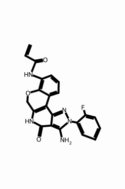 C=CC(=O)Nc1cccc2c1OCc1[nH]c(=O)c3c(N)n(-c4ccccc4F)nc3c1-2